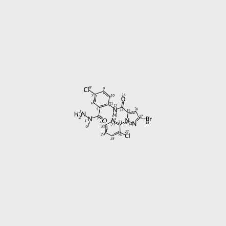 CN(N)C(=O)c1cc(Cl)ccc1NC(=O)c1cc(Br)nn1-c1ncccc1Cl